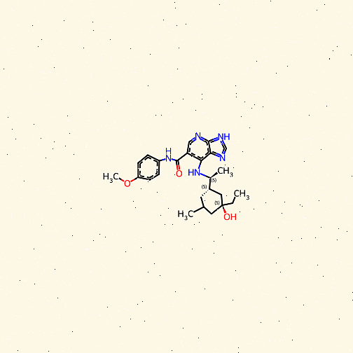 CC[C@]1(O)CC(C)C[C@H]([C@H](C)Nc2c(C(=O)Nc3ccc(OC)cc3)cnc3[nH]cnc23)C1